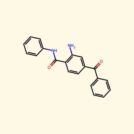 Nc1cc(C(=O)c2ccccc2)ccc1C(=O)Nc1ccccc1